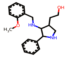 COc1ccccc1CNC1C(CCO)CNC1c1ccccc1